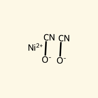 N#C[O-].N#C[O-].[Ni+2]